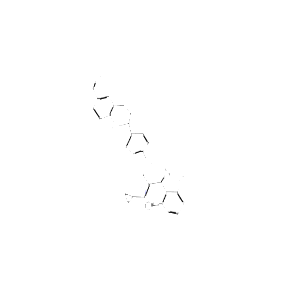 N=C(/C(COc1ccc(C2CCc3cc(C=O)ccc3O2)cc1)=C(\O)C1CC1)c1c(Cl)cccc1Cl